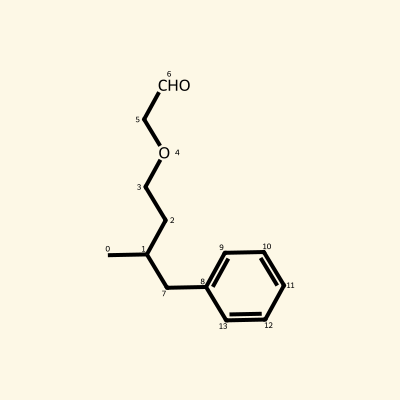 CC(CCOCC=O)Cc1ccccc1